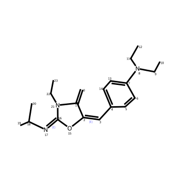 C=c1/c(=C\c2ccc(N(CC)CC)cc2)o/c(=N/C(C)C)n1CC